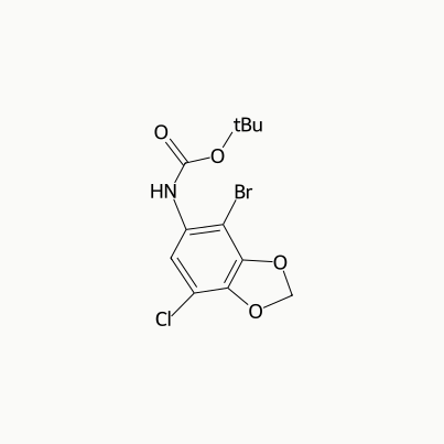 CC(C)(C)OC(=O)Nc1cc(Cl)c2c(c1Br)OCO2